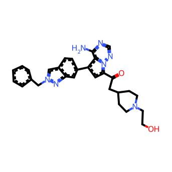 Nc1ncnn2c(C(=O)CC3CCN(CCO)CC3)cc(-c3ccc4cn(Cc5ccccc5)nc4c3)c12